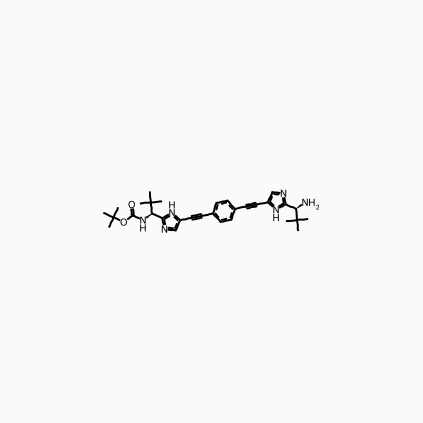 CC(C)(C)OC(=O)N[C@H](c1ncc(C#Cc2ccc(C#Cc3cnc([C@@H](N)C(C)(C)C)[nH]3)cc2)[nH]1)C(C)(C)C